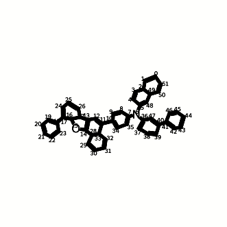 C1=CC2C=CC(N(c3ccc(C4=CC5=C(OC6C(c7ccccc7)=CC=CC56)C5C=CC=CC45)cc3)c3cccc(-c4ccccc4)c3)=CC2C=C1